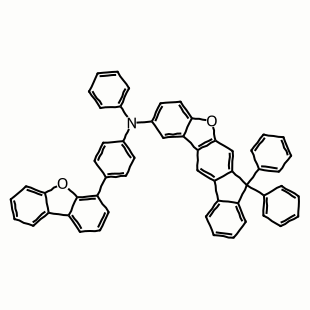 c1ccc(N(c2ccc(-c3cccc4c3oc3ccccc34)cc2)c2ccc3oc4cc5c(cc4c3c2)-c2ccccc2C5(c2ccccc2)c2ccccc2)cc1